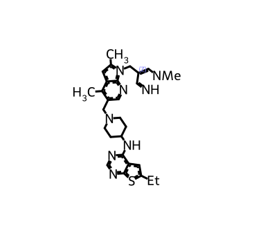 CCc1cc2c(NC3CCN(Cc4cnc5c(cc(C)n5C/C(C=N)=C/NC)c4C)CC3)ncnc2s1